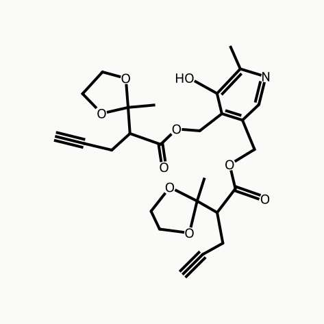 C#CCC(C(=O)OCc1cnc(C)c(O)c1COC(=O)C(CC#C)C1(C)OCCO1)C1(C)OCCO1